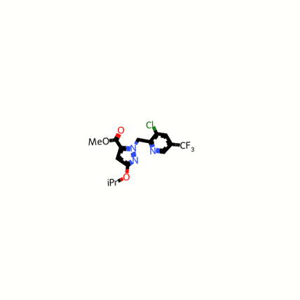 COC(=O)c1cc(OC(C)C)nn1Cc1ncc(C(F)(F)F)cc1Cl